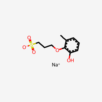 Cc1cccc(O)c1OCCCS(=O)(=O)[O-].[Na+]